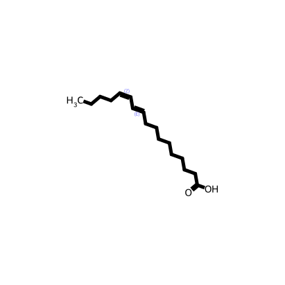 CCCC/C=C\C=C\CCCCCCCCC(=O)O